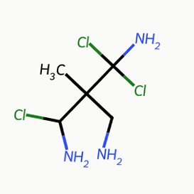 CC(CN)(C(N)Cl)C(N)(Cl)Cl